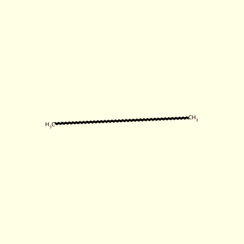 CCCCCCCCCCCCCCCCCCCCCCCCCCCCCCCCCCCCCCCCCCCCCCCCCCCCCCCCCCCCCCCCCCCCCCCCCCCCCC